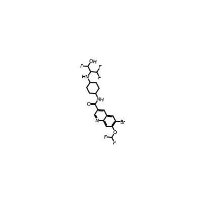 O=C(NC1CCC(NC(C(O)F)C(F)F)CC1)c1cnc2cc(OC(F)F)c(Br)cc2c1